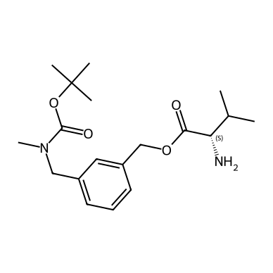 CC(C)[C@H](N)C(=O)OCc1cccc(CN(C)C(=O)OC(C)(C)C)c1